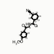 COc1ccc(C(=O)CNC(=O)c2cccc(C#N)c2)cc1